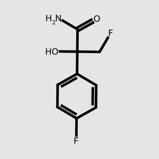 NC(=O)C(O)(CF)c1ccc(F)cc1